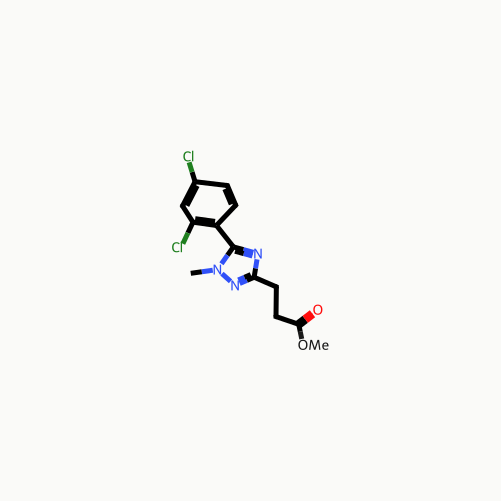 COC(=O)CCc1nc(-c2ccc(Cl)cc2Cl)n(C)n1